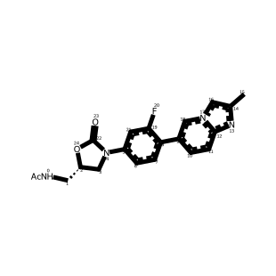 CC(=O)NC[C@H]1CN(c2ccc(-c3ccc4nc(C)cn4c3)c(F)c2)C(=O)O1